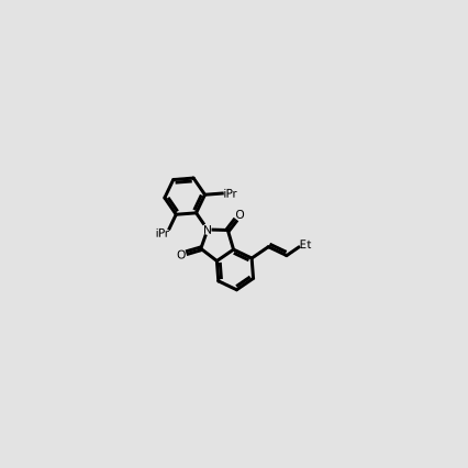 CCC=Cc1cccc2c1C(=O)N(c1c(C(C)C)cccc1C(C)C)C2=O